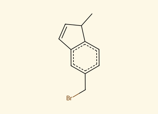 CC1C=Cc2cc(CBr)ccc21